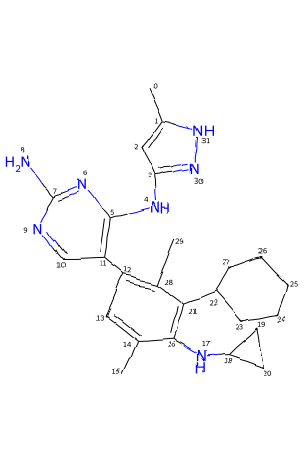 Cc1cc(Nc2nc(N)ncc2-c2cc(C)c(NC3CC3)c(C3CCCCC3)c2C)n[nH]1